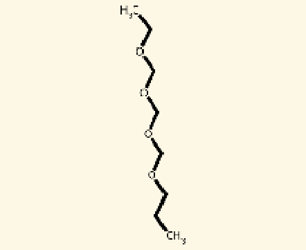 CCCOCOCOCOCC